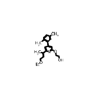 CCOCCC(C)c1cc(-c2cc(C)ccc2C)cc(OCCO)n1